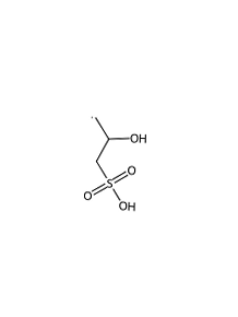 [CH2]C(O)CS(=O)(=O)O